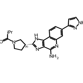 CC(C)C(=O)N1CC[C@@H](c2nc3c(N)nc4cc(-c5cc[nH]n5)ccc4c3[nH]2)C1